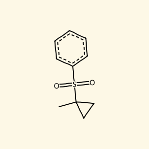 CC1(S(=O)(=O)c2ccccc2)CC1